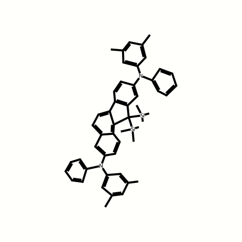 Cc1cc(C)cc(N(c2ccccc2)c2ccc3c(c2)C([Si](C)(C)C)([Si](C)(C)C)c2c-3ccc3cc(N(c4ccccc4)c4cc(C)cc(C)c4)ccc23)c1